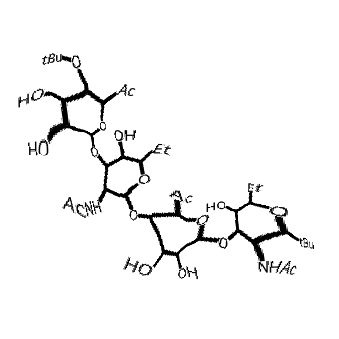 CCC1OC(OC2C(C(C)=O)OC(OC3C(O)C(CC)OC(C(C)(C)C)C3NC(C)=O)C(O)C2O)C(NC(C)=O)C(OC2OC(C(C)=O)C(OC(C)(C)C)C(O)C2O)C1O